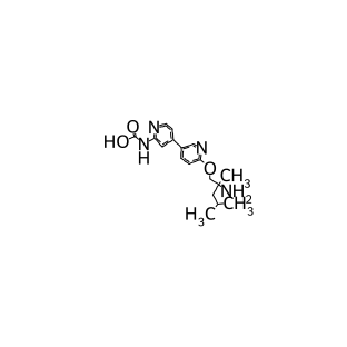 CC(C)CC(C)(N)COc1ccc(-c2ccnc(NC(=O)O)c2)cn1